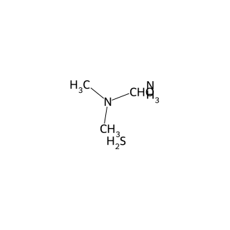 CN(C)C=O.N.S